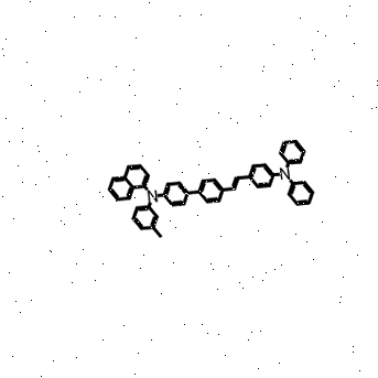 Cc1cccc(N(c2ccc(-c3ccc(/C=C/c4ccc(N(c5ccccc5)c5ccccc5)cc4)cc3)cc2)c2cccc3ccccc23)c1